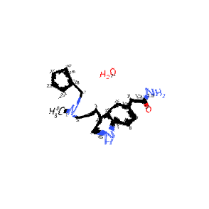 CN(CCc1c[nH]c2ccc(CC(N)=O)cc12)Cc1ccccc1.O